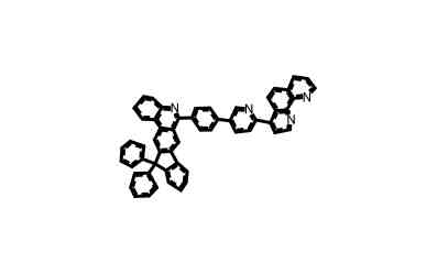 c1ccc(C2(c3ccccc3)c3ccccc3-c3cc4c(-c5ccc(-c6ccc(-c7ccnc8c7ccc7cccnc78)nc6)cc5)nc5ccccc5c4cc32)cc1